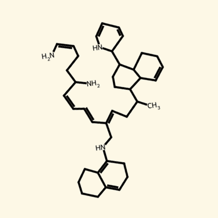 CC(C/C=C(/C=C/C=C\C(N)CC/C=C\N)CNC1=C2CCCCC2=CCC1)C1CCC(C2C=CC=CN2)C2CCC=CC12